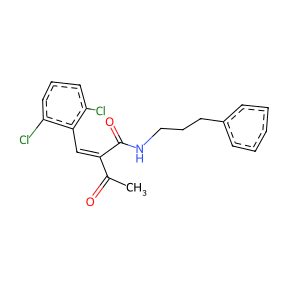 CC(=O)/C(=C/c1c(Cl)cccc1Cl)C(=O)NCCCc1ccccc1